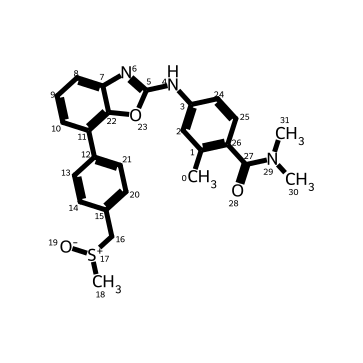 Cc1cc(Nc2nc3cccc(-c4ccc(C[S+](C)[O-])cc4)c3o2)ccc1C(=O)N(C)C